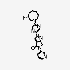 O=C1c2cn(-c3cnc(N4CCCCCC(F)C4)cn3)nc2CN1c1cccnc1